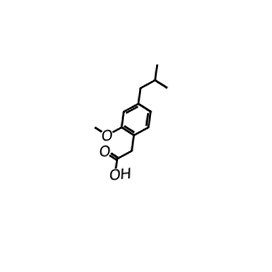 COc1cc(CC(C)C)ccc1CC(=O)O